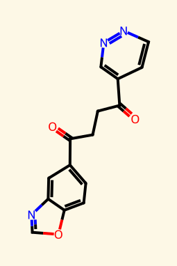 O=C(CCC(=O)c1ccc2ocnc2c1)c1ccnnc1